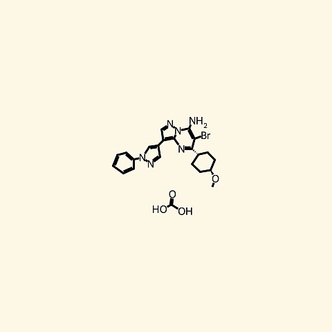 CO[C@H]1CC[C@H](c2nc3c(-c4cnn(-c5ccccc5)c4)cnn3c(N)c2Br)CC1.O=C(O)O